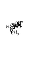 CCN(CC)CC(C)(O)CC(F)(F)F